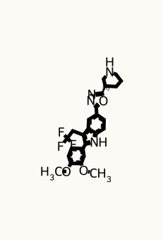 COc1ccc(-c2[nH]c3ccc(-c4nnc([C@@H]5CCCNC5)o4)cc3c2CC(F)(F)F)cc1OC